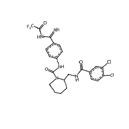 N=C(NC(=O)C(F)(F)F)c1ccc(NC(=O)N2CCCCC2CNC(=O)c2ccc(Cl)c(Cl)c2)cc1